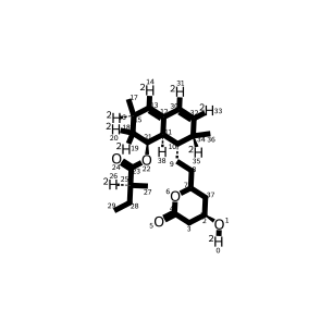 [2H]O[C@H]1CC(=O)OC(CC[C@@H]2[C@@H]3C(=C([2H])[C@]([2H])(C)C([2H])([2H])[C@@H]3OC(=O)[C@@]([2H])(C)CC)C([2H])=C([2H])[C@]2([2H])C)C1